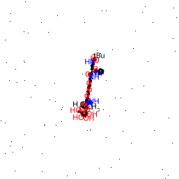 C/C=C\[C@@](C)(O[C@@H]1O[C@H](CO)[C@@H](O)[C@H](O)[C@H]1O)C(C)N(CCOCCOCCOCCNC(=O)[C@H](CCCCNC(=O)OC(C)(C)C)NC(=O)C1CCCC1)N=N